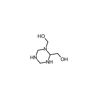 OCC1NCNCN1CO